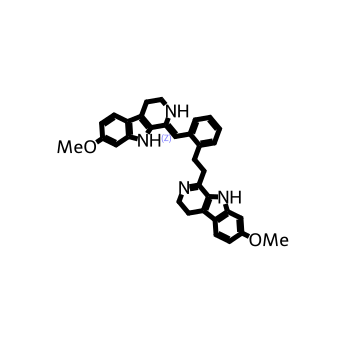 COc1ccc2c3c([nH]c2c1)C(CCc1ccccc1/C=C1\NCCc2c1[nH]c1cc(OC)ccc21)=NCC3